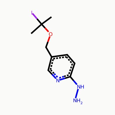 CC(C)(I)OCc1ccc(NN)nc1